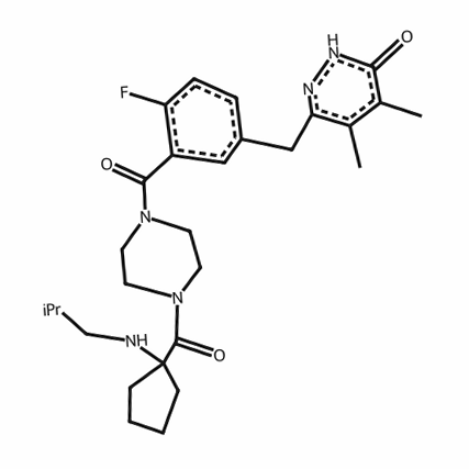 Cc1c(Cc2ccc(F)c(C(=O)N3CCN(C(=O)C4(NCC(C)C)CCCC4)CC3)c2)n[nH]c(=O)c1C